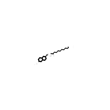 CCCCCCCCCCCNC(=O)c1ccc2cc(Br)ccc2c1